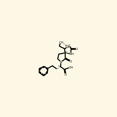 CCC(C)[C@@]1(NC(C)=O)CCN([C@@H](CCc2ccccc2)C(=O)O)C1=O